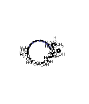 C[C@@H]1OC(=O)CC(O)CC(O)CCC(O)C(O)CC(O)CC2(O)C[C@H](O)C(C(=O)NC3CCCC3O)[C@H](CC(O[C@@H]3O[C@H](C)C(O)[C@H](N)[C@@H]3O)/C=C/C=C/C=C/C=C/C=C/C=C/C=C/[C@H](C)C(O)[C@H]1C)O2